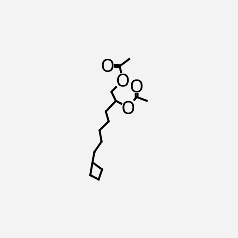 CC(=O)OCC(CCCCCC1CCC1)OC(C)=O